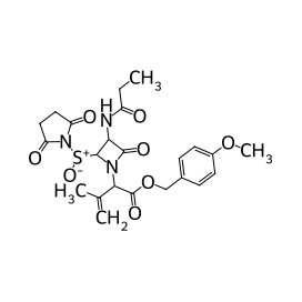 C=C(C)C(C(=O)OCc1ccc(OC)cc1)N1C(=O)C(NC(=O)CC)C1[S+]([O-])N1C(=O)CCC1=O